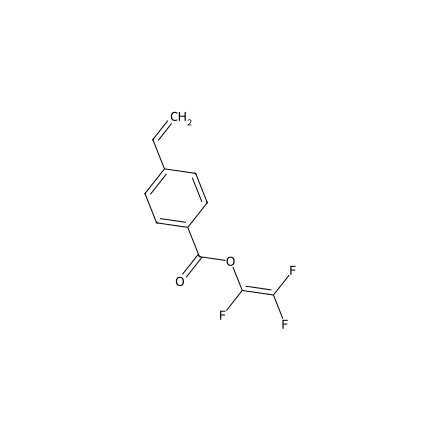 C=Cc1ccc(C(=O)OC(F)=C(F)F)cc1